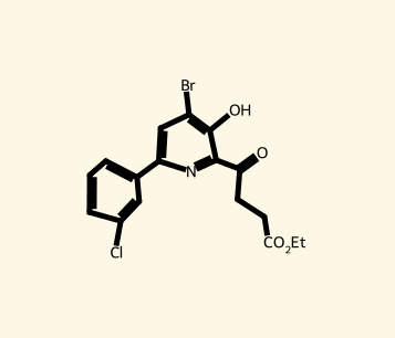 CCOC(=O)CCC(=O)c1nc(-c2cccc(Cl)c2)cc(Br)c1O